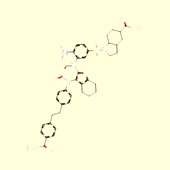 CN(C)c1ccc(S(=O)(=O)N2CCC3CC(C(=O)O)CCC32)cc1N(C=O)c1sc2c(c1N(C=O)c1ccc(CCc3ccc(C(=O)O)cc3)cc1)CCCC2